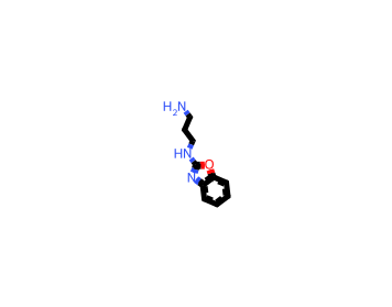 NCCCNc1nc2ccccc2o1